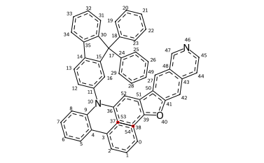 c1ccc(-c2ccccc2N(c2ccc3c(c2)C(c2ccccc2)(c2ccccc2)c2ccccc2-3)c2ccc3oc4cc5ccncc5cc4c3c2)cc1